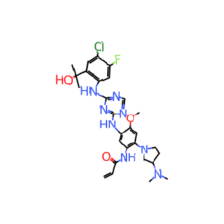 C=CC(=O)Nc1cc(Nc2ncnc(Nc3cc(F)c(Cl)cc3C(C)(C)O)n2)c(OC)cc1N1CCC(N(C)C)C1